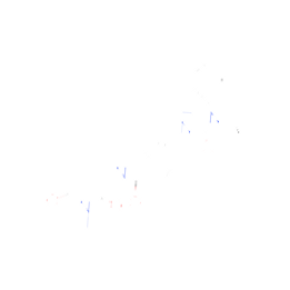 C[C@@H]1Cc2ccccc2N1C(=O)Nc1ccc2c(c1F)CN(C1CCC(=O)NC1=O)C2=O